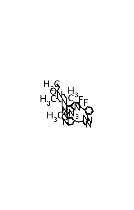 C=CC(=O)N1C[C@H](C)N(c2nc(=O)n3c4nc(c(F)cc24)-c2c(F)cccc2-n2nncc2Cc2ccnc(C(C)C)c2-3)C[C@H]1C